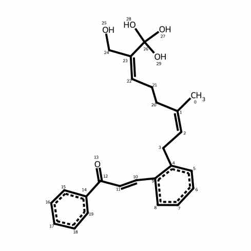 CC(=CCc1ccccc1C=CC(=O)c1ccccc1)CCC=C(CO)C(O)(O)O